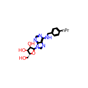 CCCc1ccc(CNc2ncnc3c2ncn3C2O[C@H](CO)[C@@H](O)[C@H]2O)cc1